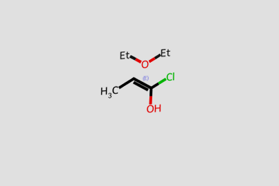 C/C=C(\O)Cl.CCOCC